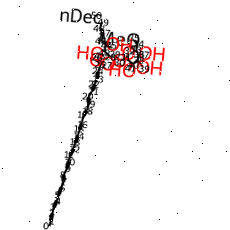 CC#CC#CC#CC#CC#CC#CC#CC#CC#CC#CC#CC#CC(=O)O[C@@H](COC1OC(COC)C(O)C(O)C1O)[C@H](O)[C@H](O)CCCCCCCCCCCCCC